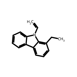 C=Cn1c2ccccc2c2cccc(CC)c21